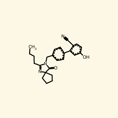 CCCCC1=NC2(CCCC2)C(=O)N1Cc1ccc(-c2cc(O)ccc2C#N)cc1